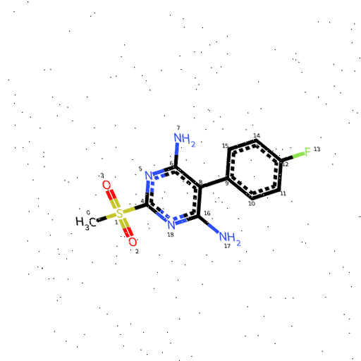 CS(=O)(=O)c1nc(N)c(-c2ccc(F)cc2)c(N)n1